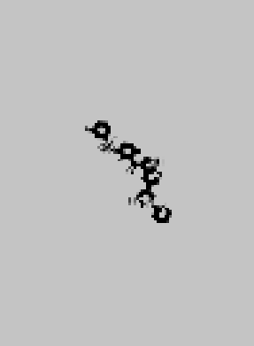 N=C/C(=C\Nc1ccccn1)c1cnc2[nH]cc(C(=O)c3c(F)ccc(NS(=O)(=O)c4cccc(F)c4)c3F)c2c1